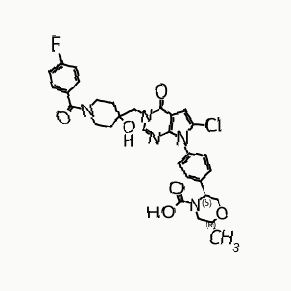 C[C@@H]1CN(C(=O)O)[C@@H](c2ccc(-n3c(Cl)cc4c(=O)n(CC5(O)CCN(C(=O)c6ccc(F)cc6)CC5)cnc43)cc2)CO1